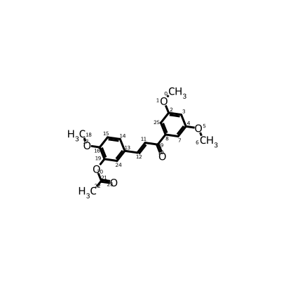 COc1cc(OC)cc(C(=O)C=Cc2ccc(OC)c(OC(C)=O)c2)c1